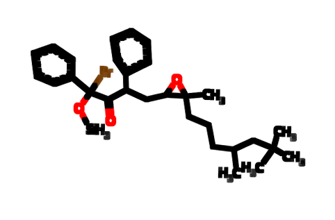 CC(CCCC1(C)OC1CC(C(=O)C(Br)(O[SiH3])c1ccccc1)c1ccccc1)CC(C)(C)C